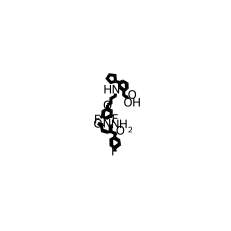 Nc1c(C(=O)c2ccc(F)cc2)ccc(=O)n1-c1c(F)cc(OCCCNc2c(CC(=O)O)cccc2C2CCCC2)cc1F